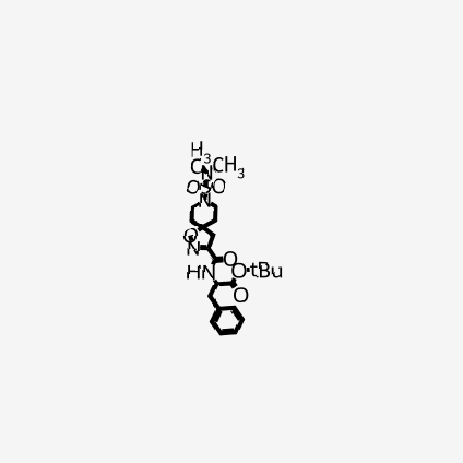 CN(C)S(=O)(=O)N1CCC2(CC1)CC(C(=O)NC(Cc1ccccc1)C(=O)OC(C)(C)C)=NO2